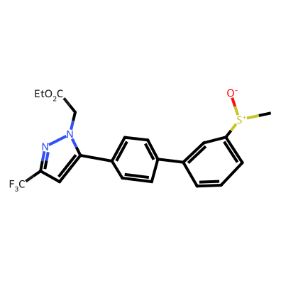 CCOC(=O)Cn1nc(C(F)(F)F)cc1-c1ccc(-c2cccc([S+](C)[O-])c2)cc1